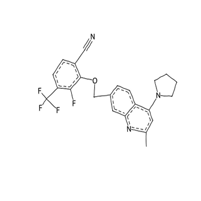 Cc1cc(N2CCCC2)c2ccc(COc3c(C#N)ccc(C(F)(F)F)c3F)cc2n1